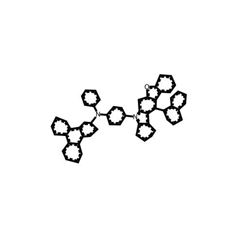 c1ccc(N(c2ccc(-n3c4ccccc4c4c(-c5cccc6ccccc56)c5c(cc43)oc3ccccc35)cc2)c2ccc3c4ccccc4c4ccccc4c3c2)cc1